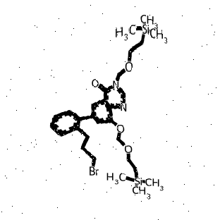 C[Si](C)(C)CCOCOc1cc(-c2ccccc2CCCBr)cc2c(=O)n(COCC[Si](C)(C)C)cnc12